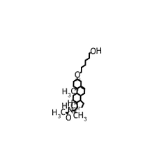 CC(=O)N[C@@H](C)[C@H]1CCC2C3CC=C4C[C@@H](OCCCCCCO)CC[C@]4(C)C3CC[C@@]21C